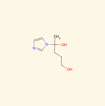 CC(O)(CCCO)n1ccnc1